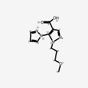 COCCCn1ncc(C(=O)O)c1-n1cccn1